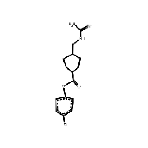 CCc1ccc(OC(=O)C2CCC(CNC(=N)N)CC2)cc1